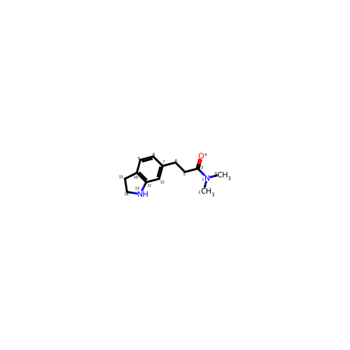 CN(C)C(=O)CCc1ccc2c(c1)NCC2